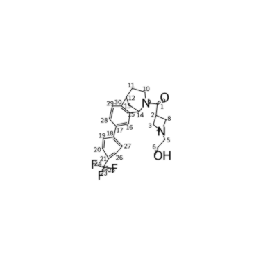 O=C(C1CN(CCO)C1)N1CCC2CC1c1cc(-c3ccc(C(F)(F)F)cc3)ccc12